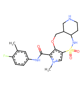 Cc1cc(NC(=O)c2c3c(cn2C)S(=O)(=O)NC2CCNCC2CO3)ccc1F